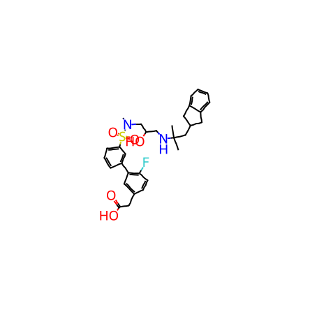 CN(CC(O)CNC(C)(C)CC1Cc2ccccc2C1)S(=O)(=O)c1cccc(-c2cc(CC(=O)O)ccc2F)c1